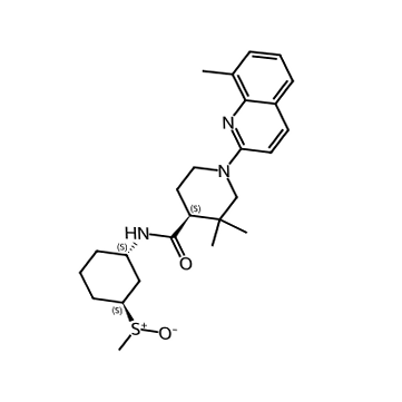 Cc1cccc2ccc(N3CC[C@H](C(=O)N[C@H]4CCC[C@H]([S+](C)[O-])C4)C(C)(C)C3)nc12